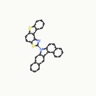 c1ccc2cc3c(cc2c1)c1c2ccccc2ccc1n3-c1nc2c(ccc3sc4ccccc4c32)s1